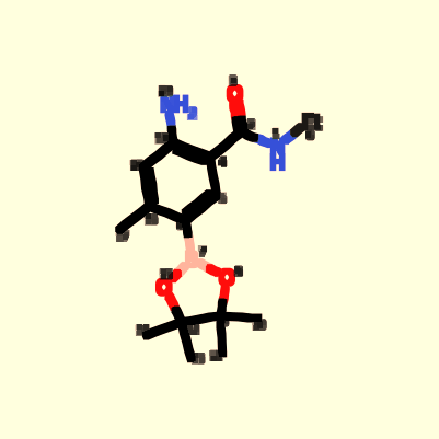 CCNC(=O)c1cc(B2OC(C)(C)C(C)(C)O2)c(C)cc1N